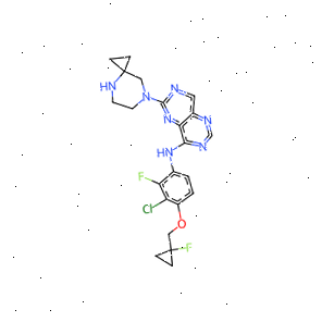 Fc1c(Nc2ncnc3cnc(N4CCNC5(CC5)C4)nc23)ccc(OCC2(F)CC2)c1Cl